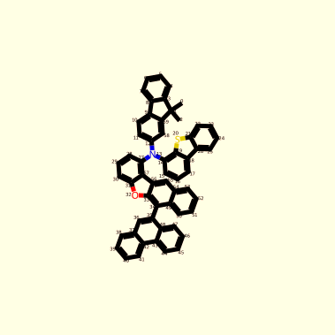 CC1(C)c2ccccc2-c2ccc(N(c3cccc4c3sc3ccccc34)c3cccc4oc5c(-c6cc7ccccc7c7ccccc67)c6ccccc6cc5c34)cc21